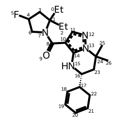 CCC1(CC)CC(F)CN1C(=O)c1cnn2c1N[C@@H](C1C=CC=CC1)CC2(C)C